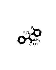 N/C(C(=O)O)=C(/c1ccccc1)N(N)c1ccccc1F